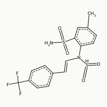 Cc1ccc(N(C=Cc2ccc(C(F)(F)F)cc2)[SH](=O)=O)c(S(N)(=O)=O)c1